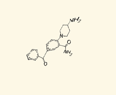 NC(=O)c1cc(C(=O)c2ccccc2)ccc1N1CCC(N)CC1